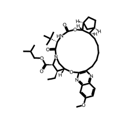 CC[C@@H]1[C@@H]2CN(C(=O)[C@H](C(C)(C)C)NC(=O)O[C@@H]3[C@H]4CC[C@H](C4)[C@H]3CCCCCc3nc4ccc(OC)cc4nc3O2)[C@@H]1C(=O)OCC(C)C